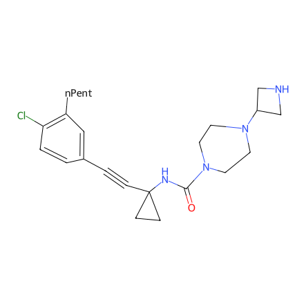 CCCCCc1cc(C#CC2(NC(=O)N3CCN(C4CNC4)CC3)CC2)ccc1Cl